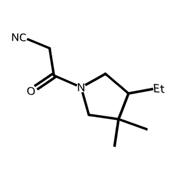 CCC1CN(C(=O)CC#N)CC1(C)C